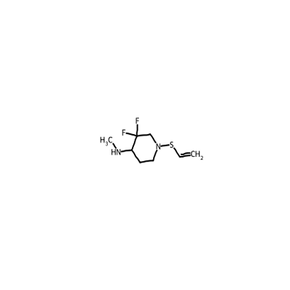 C=CSN1CCC(NC)C(F)(F)C1